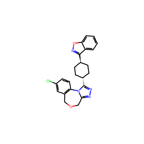 Clc1ccc2c(c1)COCc1nnc([C@H]3CC[C@H](c4noc5ccccc54)CC3)n1-2